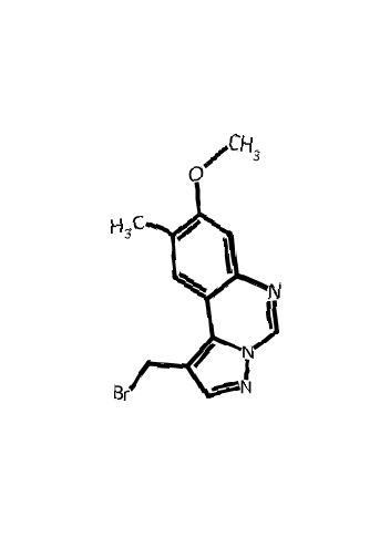 COc1cc2ncn3ncc(CBr)c3c2cc1C